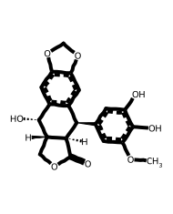 COc1cc([C@@H]2c3cc4c(cc3[C@@H](O)[C@H]3COC(=O)[C@H]23)OCO4)cc(O)c1O